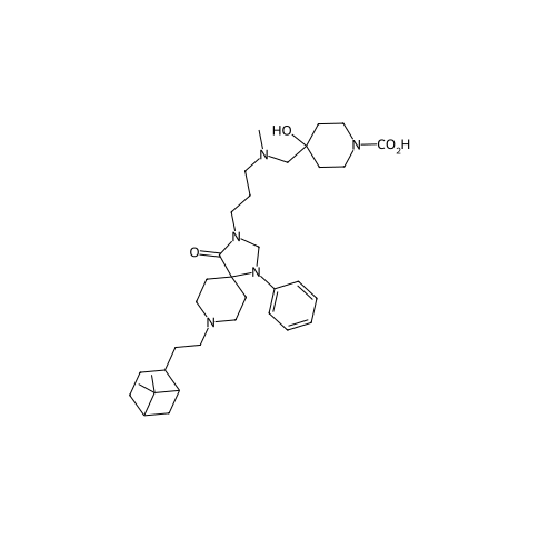 CN(CCCN1CN(c2ccccc2)C2(CCN(CCC3CCC4CC3C4(C)C)CC2)C1=O)CC1(O)CCN(C(=O)O)CC1